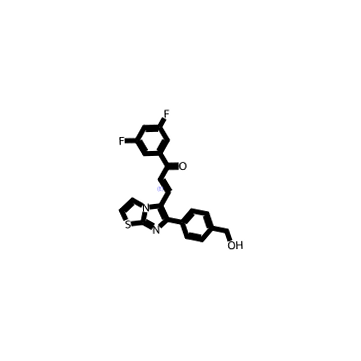 O=C(/C=C/c1c(-c2ccc(CO)cc2)nc2sccn12)c1cc(F)cc(F)c1